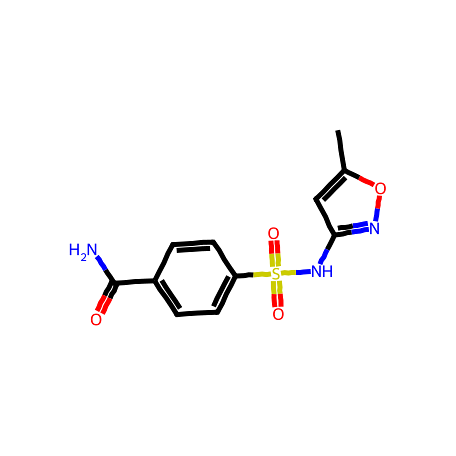 Cc1cc(NS(=O)(=O)c2ccc(C(N)=O)cc2)no1